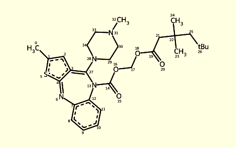 Cc1cc2c(s1)=Nc1ccccc1N(C(=O)OCOC(=O)CC(C)(C)CC(C)(C)C)C=2N1CCN(C)CC1